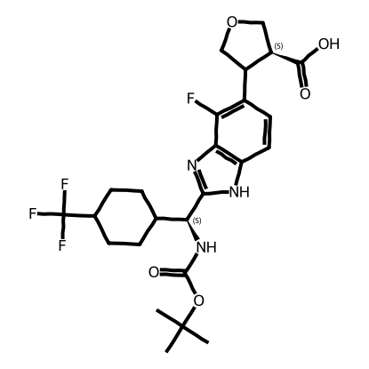 CC(C)(C)OC(=O)N[C@H](c1nc2c(F)c(C3COC[C@H]3C(=O)O)ccc2[nH]1)C1CCC(C(F)(F)F)CC1